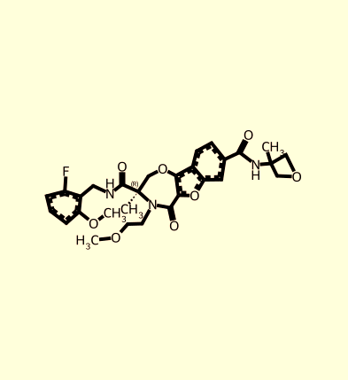 COCCN1C(=O)c2oc3cc(C(=O)NC4(C)COC4)ccc3c2OC[C@]1(C)C(=O)NCc1c(F)cccc1OC